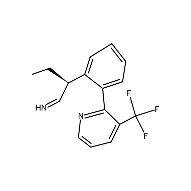 CC[C@H](C=N)c1ccccc1-c1ncccc1C(F)(F)F